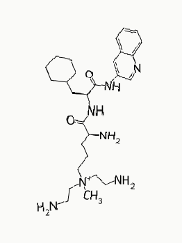 C[N+](CCN)(CCN)CCC[C@H](N)C(=O)N[C@@H](CC1CCCCC1)C(=O)Nc1cnc2ccccc2c1